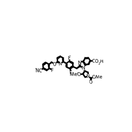 COC(=O)N1CC(OC)[C@H](n2c(Cc3cc(F)c(-c4cccc(OCc5ccc(C#N)cc5F)n4)cc3F)nc3ccc(C(=O)O)cc32)C1